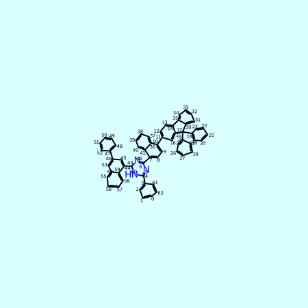 c1ccc(C2=NC(c3ccc(-c4ccc5c(c4)C(c4ccccc4)(c4ccccc4)c4ccccc4-5)c4ccccc34)=NC(c3cc(-c4ccccc4)cc4ccccc34)N2)cc1